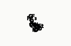 CCS(=O)(=O)c1cccnc1-c1ncc2c(OCC(F)(F)C(F)(F)F)cccn12